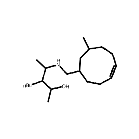 CCCCC(C(C)O)C(C)NCC1CC/C=C\CCC(C)C1